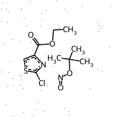 CC(C)(C)ON=O.CCOC(=O)c1csc(Cl)n1